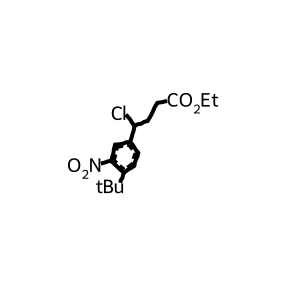 CCOC(=O)CCC(Cl)c1ccc(C(C)(C)C)c([N+](=O)[O-])c1